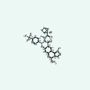 CN(C(=O)[C@@H]1CC2CC1C2)N(Cc1ccc(C(F)(F)F)nn1)C(=O)c1cc2c(cc1F)nc(N)c1cnn(C)c12